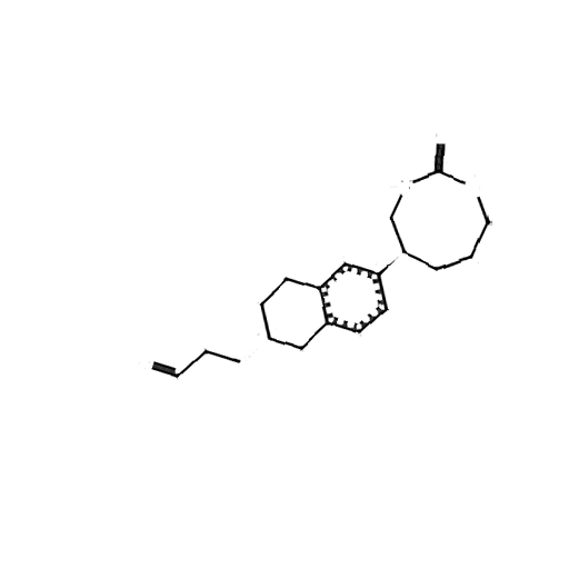 O=CCC[C@@H]1CCc2cc([C@@H]3CCCOC(=O)NC3)ccc2C1